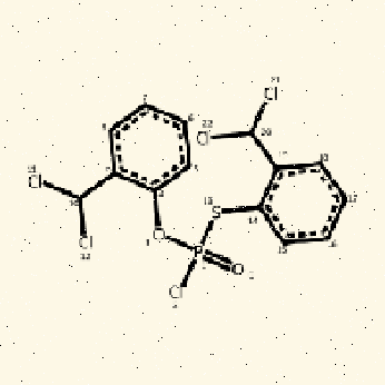 O=P(Cl)(Oc1ccccc1C(Cl)Cl)Sc1ccccc1C(Cl)Cl